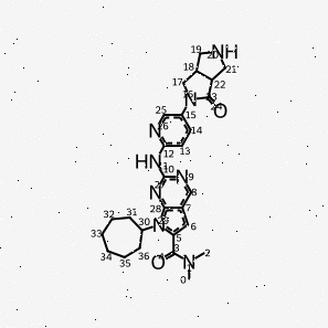 CN(C)C(=O)c1cc2cnc(Nc3ccc(N4CC5CNCC5C4=O)cn3)nc2n1C1CCCCCC1